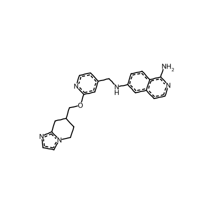 Nc1nccc2cc(NCc3ccnc(OCC4CCn5ccnc5C4)c3)ccc12